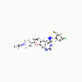 BN1CCC(COc2cc3ncnc(Nc4ccc(Br)cc4F)c3cc2OC)CC1